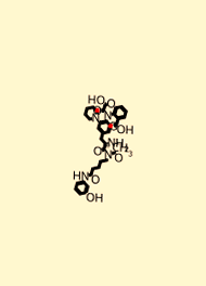 CC(=O)N(CCCCC(=O)Nc1cccc(O)c1)C(=O)[C@@H](N)Cc1ccc(N(C(=O)C(=O)O)c2ccccc2C(=O)O)c(N2CCCCC2)c1